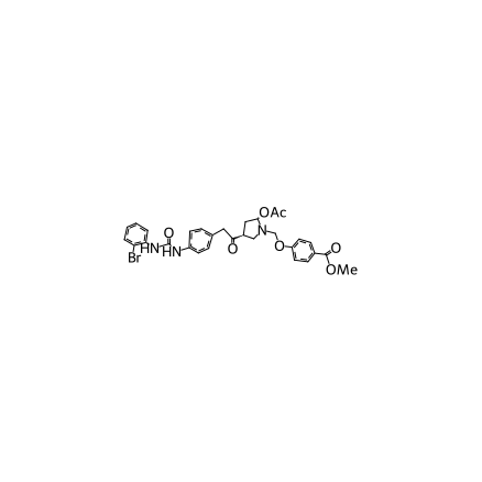 COC(=O)c1ccc(OCN2C[C@@H](C(=O)Cc3ccc(NC(=O)Nc4ccccc4Br)cc3)C[C@@H]2OC(C)=O)cc1